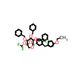 CCOc1ccc(Cc2cc([C@]34OC[C@](OC(F)F)(O3)[C@@H](OCc3ccccc3)[C@H](OCc3ccccc3)[C@H]4OCc3ccccc3)ccc2Cl)cc1